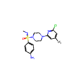 CN=S(=O)(c1ccc(N)cc1)N1CCN(c2cc(C(F)(F)F)cc(Cl)n2)CC1